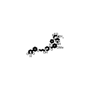 COc1cc(C(=O)NC2CCN(C(O)CCCOc3cccc(C4CCC(=O)NC4=O)c3)CC2)ccc1Nc1ncc2c(n1)N(C1CCCC1)CC(F)(F)C(=O)N2C